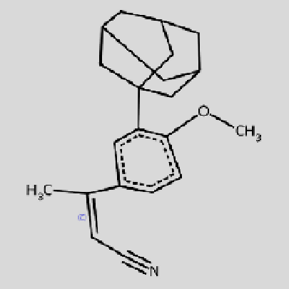 COc1ccc(/C(C)=C\C#N)cc1C12CC3CC(CC(C3)C1)C2